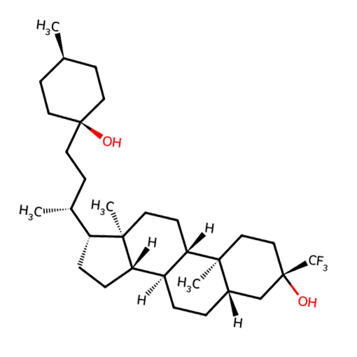 C[C@H](CC[C@]1(O)CC[C@@H](C)CC1)[C@H]1CC[C@H]2[C@@H]3CC[C@H]4C[C@](O)(C(F)(F)F)CC[C@]4(C)[C@H]3CC[C@]12C